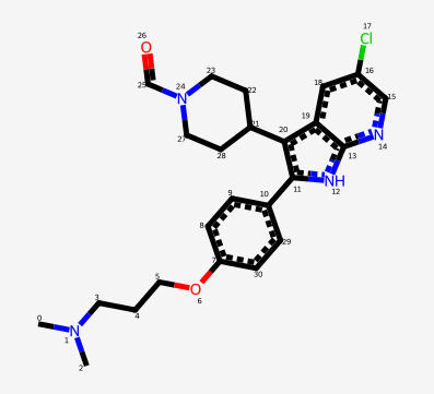 CN(C)CCCOc1ccc(-c2[nH]c3ncc(Cl)cc3c2C2CCN(C=O)CC2)cc1